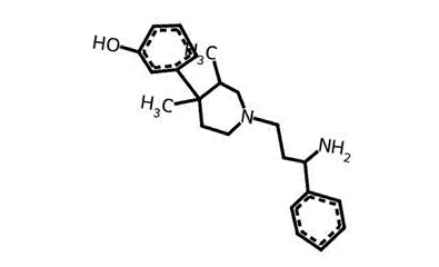 CC1CN(CCC(N)c2ccccc2)CCC1(C)c1cccc(O)c1